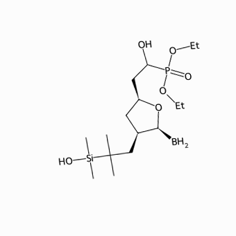 B[C@@H]1O[C@H](CC(O)P(=O)(OCC)OCC)C[C@@H]1CC(C)(C)[Si](C)(C)O